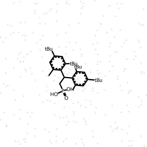 Cc1cc(C(C)(C)C)cc(C(C)(C)C)c1C(CP(=O)(O)O)c1c(C)cc(C(C)(C)C)cc1C(C)(C)C